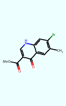 COC(=O)c1c[nH]c2cc(Br)c(C)cc2c1=O